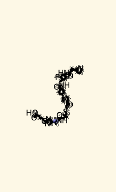 C/C(=N\NC(=O)CC(C)(C)SSCCC(=O)N1CCN(C2CCN(C(=O)NCc3ccc(NC(=O)C4CC4c4cccnc4)cc3F)CC2)CC1)c1cnc(OCCCC(=O)O)nc1